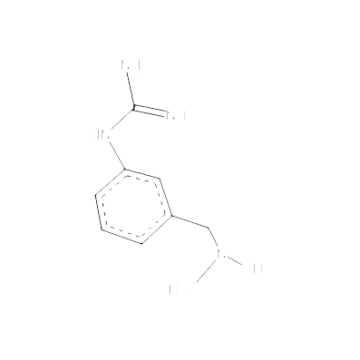 CN(C)Cc1cccc(NC(=N)N)c1